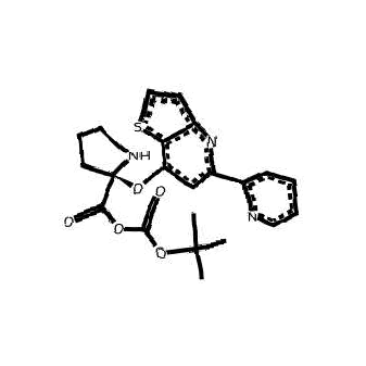 CC(C)(C)OC(=O)OC(=O)[C@]1(Oc2cc(-c3ccccn3)nc3ccsc23)CCCN1